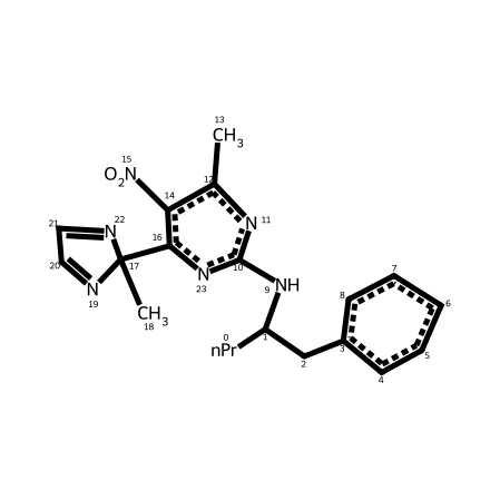 CCCC(Cc1ccccc1)Nc1nc(C)c([N+](=O)[O-])c(C2(C)N=CC=N2)n1